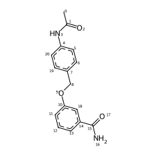 CC(=O)Nc1ccc(COc2cccc(C(N)=O)c2)cc1